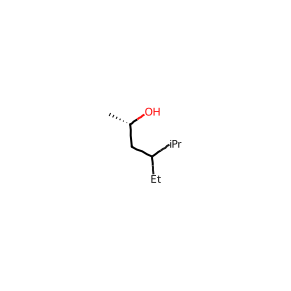 CCC(C[C@H](C)O)C(C)C